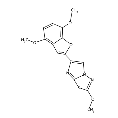 COc1nn2cc(-c3cc4c(OC)ccc(OC)c4o3)nc2s1